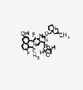 CCc1c(F)ccc2cc(O)cc(-c3ncc4c(N5C[C@H]6CO[C@H](C6)C5)nc(OC[C@@]56CCCN5C[C@H](C)C6)nc4c3F)c12